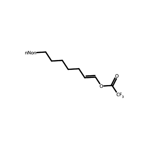 CCCCCCCCCCCCCCC=COC(=O)C(F)(F)F